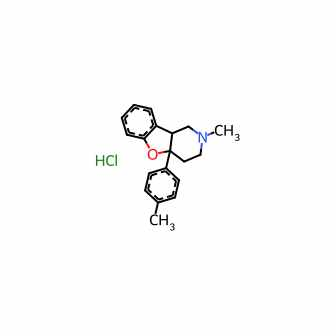 Cc1ccc(C23CCN(C)CC2c2ccccc2O3)cc1.Cl